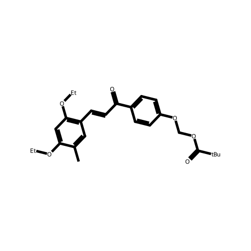 CCOc1cc(OCC)c(C=CC(=O)c2ccc(OCOC(=O)C(C)(C)C)cc2)cc1C